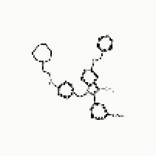 COc1cccc(-c2c(C)c3cc(OCc4ccccc4)ccc3n2Cc2ccc(OCCN3CCCCCC3)cc2)c1